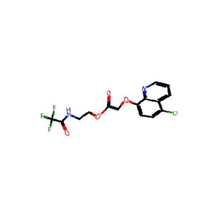 O=C(COc1ccc(Cl)c2cccnc12)OCCNC(=O)C(F)(F)F